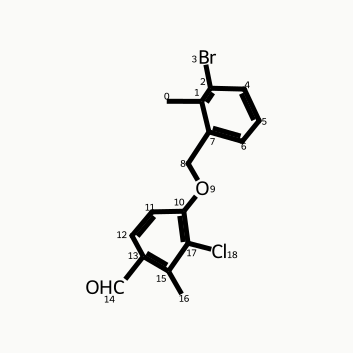 Cc1c(Br)cccc1COc1ccc(C=O)c(C)c1Cl